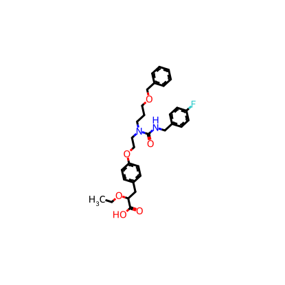 CCOC(Cc1ccc(OCCN(CCCOCc2ccccc2)C(=O)NCc2ccc(F)cc2)cc1)C(=O)O